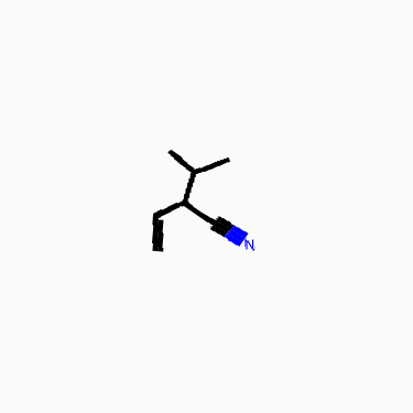 C=CC(C#N)C(C)C